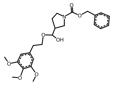 COc1cc(CCOC(O)C2CCN(C(=O)OCc3ccccc3)C2)cc(OC)c1OC